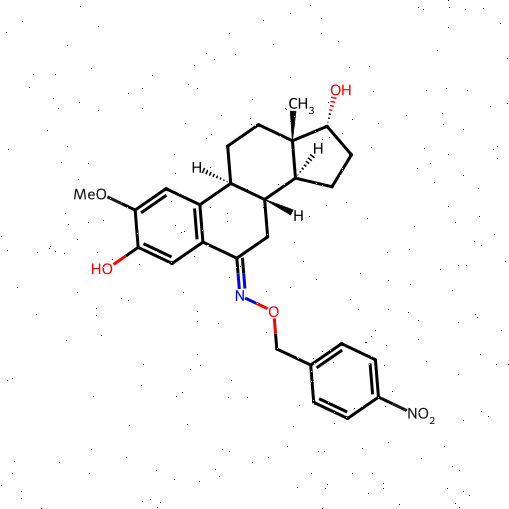 COc1cc2c(cc1O)C(=NOCc1ccc([N+](=O)[O-])cc1)C[C@@H]1[C@@H]2CC[C@]2(C)[C@H](O)CC[C@@H]12